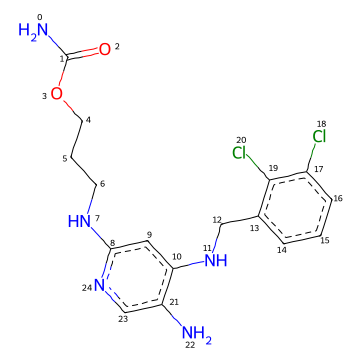 NC(=O)OCCCNc1cc(NCc2cccc(Cl)c2Cl)c(N)cn1